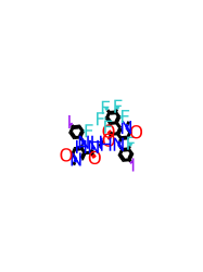 Cn1cc(C(=O)NCCOC(=O)c2c(Nc3ccc(I)cc3F)cc(=O)n(C)c2-c2c(F)c(F)c(F)c(F)c2F)c(Nc2ccc(I)cc2F)cc1=O